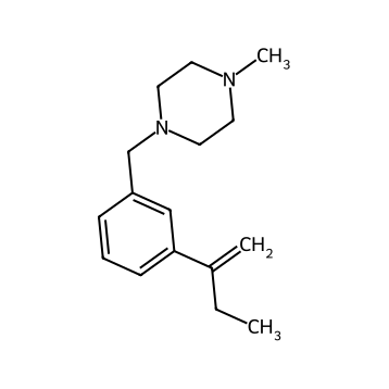 C=C(CC)c1cccc(CN2CCN(C)CC2)c1